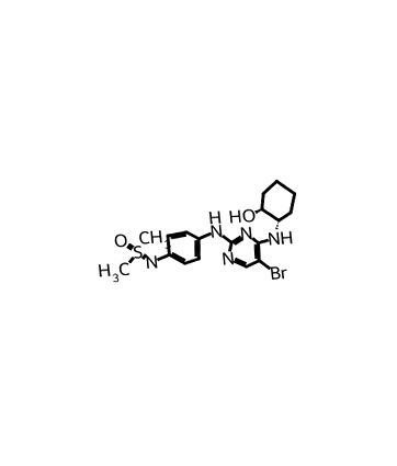 CS(C)(=O)=Nc1ccc(Nc2ncc(Br)c(N[C@H]3CCCC[C@@H]3O)n2)cc1